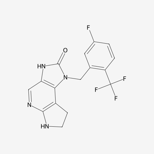 O=c1[nH]c2cnc3c(c2n1Cc1cc(F)ccc1C(F)(F)F)CCN3